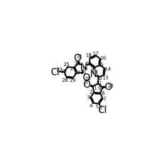 O=C1c2ccc(Cl)cc2C(=O)C1c1ccc2cccc(N3C(=O)C4=C(CC(Cl)C=C4)C3=O)c2n1